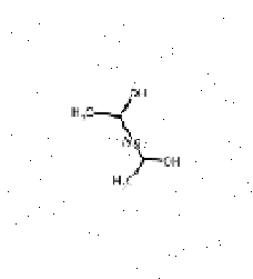 C[CH](O)[Mg][CH](C)O